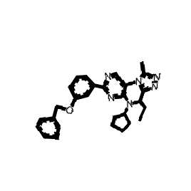 CCC1c2nnc(C)n2-c2cnc(-c3cccc(OCc4ccccc4)c3)nc2N1C1CCCC1